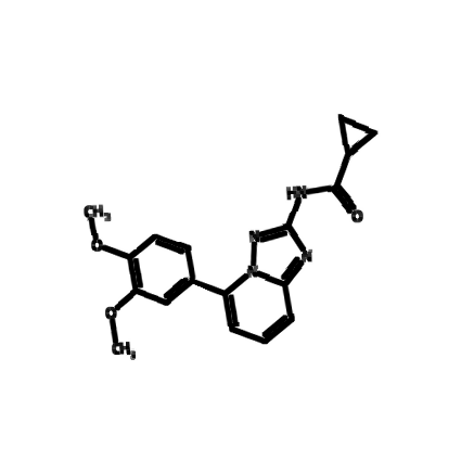 COc1ccc(-c2cccc3nc(NC(=O)C4CC4)nn23)cc1OC